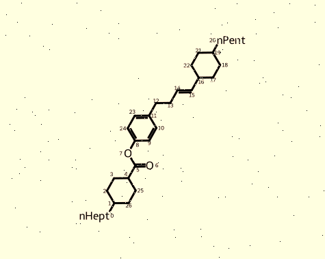 CCCCCCCC1CCC(C(=O)Oc2ccc(CCC=CC3CCC(CCCCC)CC3)cc2)CC1